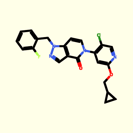 O=c1c2cnn(Cc3ccccc3F)c2ccn1-c1cc(OCC2CC2)ncc1Cl